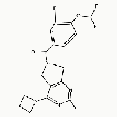 Cc1nc2c(c(N3CCC3)n1)CN(C(=O)c1ccc(OC(F)F)c(F)c1)C2